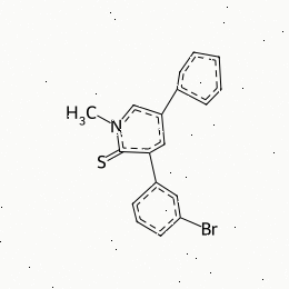 Cn1cc(-c2ccccc2)cc(-c2cccc(Br)c2)c1=S